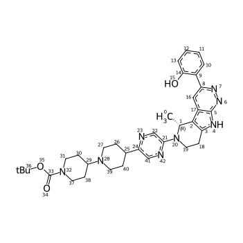 C[C@@H]1c2c([nH]c3nnc(-c4ccccc4O)cc23)CCN1c1cnc(C2CCN(C3CCN(C(=O)OC(C)(C)C)CC3)CC2)cn1